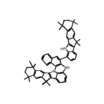 CC1(C)CCC(C)(C)c2cc3c(cc21)-c1[nH]c2c(-c4cc5ccccc5c5c4Bc4cccc6c7c(n-5c46)-c4cc5c(cc4C7(C)C)C(C)(C)CCC5(C)C)cccc2c1C3(C)C